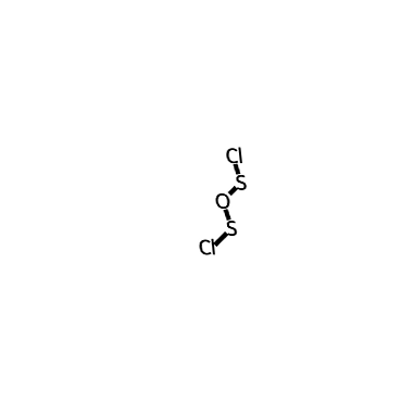 ClSOSCl